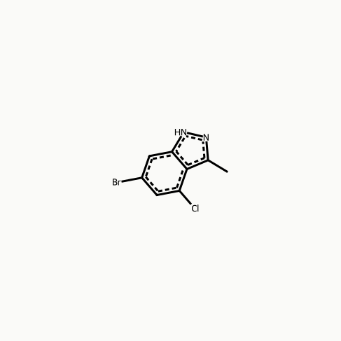 Cc1n[nH]c2cc(Br)cc(Cl)c12